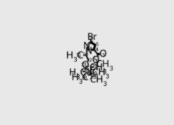 COC(=O)c1cc(Br)nn1[C@@H](C)CO[Si](C)(C)C(C)(C)C